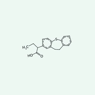 CCC(C(=O)O)c1ccc2c(c1)CCc1ccccc1S2